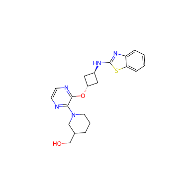 OCC1CCCN(c2nccnc2O[C@H]2C[C@H](Nc3nc4ccccc4s3)C2)C1